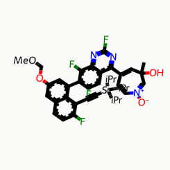 COCOc1cc(-c2c(F)cc3c(C4=CC(C)(O)C=[N+]([O-])C=C4)nc(F)nc3c2F)c2c(C#C[Si](C(C)C)(C(C)C)C(C)C)c(F)ccc2c1